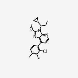 CCC(C1CC1)n1c(OC)nc2c(-c3ccc(C)c(F)c3Cl)ccnc21